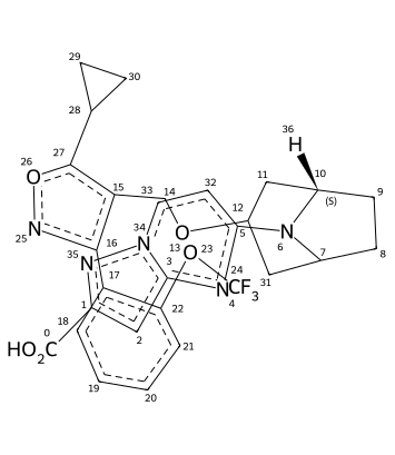 O=C(O)c1cc2nc(N3C4CC[C@H]3CC(OCc3c(-c5ccccc5OC(F)(F)F)noc3C3CC3)C4)ccn2n1